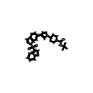 CC(C)(C)OC(=O)N1CCC(n2cc(-c3cnc4cnn(S(=O)(=O)c5cnn6cccnc56)c4c3)cn2)CC1